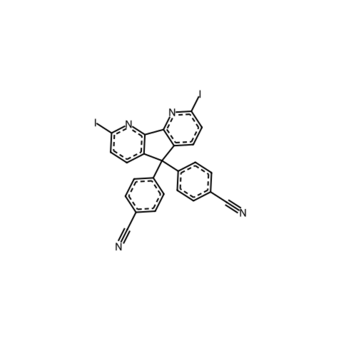 N#Cc1ccc(C2(c3ccc(C#N)cc3)c3ccc(I)nc3-c3nc(I)ccc32)cc1